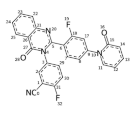 N#Cc1cc(-n2c(-c3ccc(-n4ccccc4=O)cc3F)nc3ccccc3c2=O)ccc1F